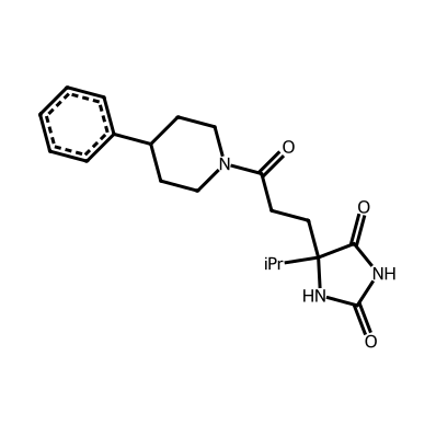 CC(C)C1(CCC(=O)N2CCC(c3ccccc3)CC2)NC(=O)NC1=O